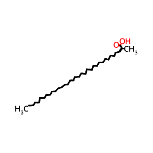 CCCCCCCCCCCCCCCCCCCCCCCCCCCCCCCCC=C(C)C(=O)O